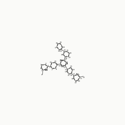 Cc1cccc(-c2ccc(-c3nc(-c4ccc(-c5cccc(C)n5)cc4)nc(-c4cccc(-c5ccccc5)c4)n3)cc2)n1